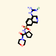 NC(=NCl)Nc1cncc2cc(S(=O)(=O)NC3(C(=O)N4CCOCC4)CCCC3)ccc12